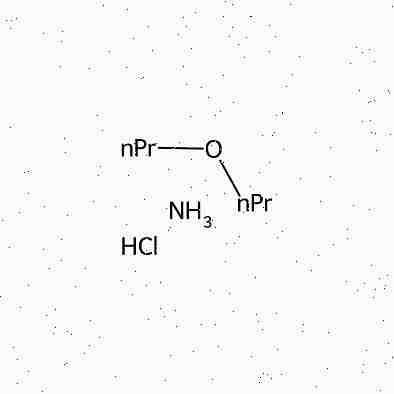 CCCOCCC.Cl.N